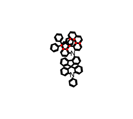 c1ccc(N2c3ccccc3C3(c4ccccc4-c4c(N(c5ccccc5-c5ccccc5-c5cccc6ccccc56)c5cccc6c5-c5ccccc5C6(c5ccccc5)c5ccccc5)cccc43)c3ccccc32)cc1